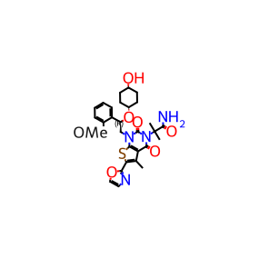 COc1ccccc1[C@H](Cn1c(=O)n(C(C)(C)C(N)=O)c(=O)c2c(C)c(-c3ncco3)sc21)O[C@H]1CC[C@H](O)CC1